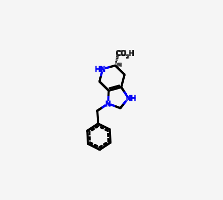 O=C(O)[C@@H]1CC2=C(CN1)N(Cc1ccccc1)CN2